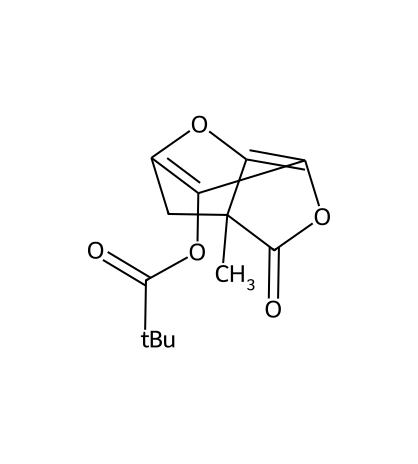 CC(C)(C)C(=O)Oc1c2oc3c1OC(=O)C3(C)C2